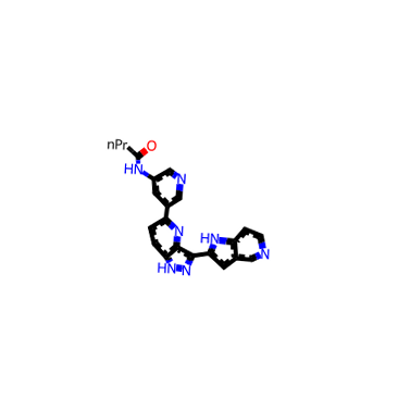 CCCC(=O)Nc1cncc(-c2ccc3[nH]nc(-c4cc5cnccc5[nH]4)c3n2)c1